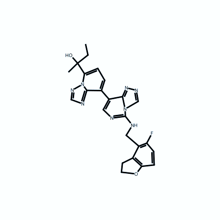 CCC(C)(O)c1ccc(-c2cnc(NCc3c(F)ccc4c3CCO4)n3cnnc23)c2ncnn12